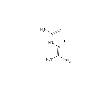 Cl.NC(=O)NN=C(N)N